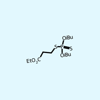 CCOC(=O)CCSP(=S)(OCC(C)C)OCC(C)C